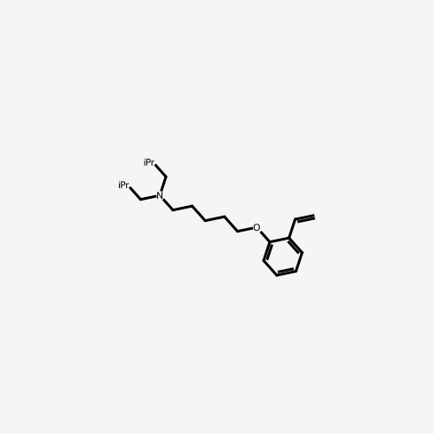 C=Cc1ccccc1OCCCCCN(CC(C)C)CC(C)C